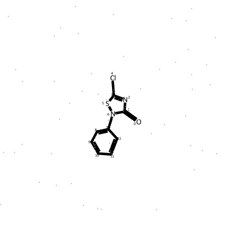 O=c1nc(Cl)sn1-c1ccccc1